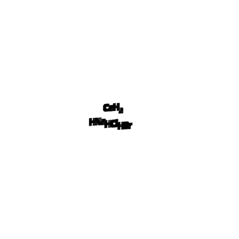 Br.Cl.[CaH2].[NaH]